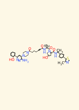 Cc1ncsc1-c1ccc([C@@H](C)NC(=O)[C@H]2C[C@H](O)CN2C(=O)[C@H](NC(=O)C#CCCCC(=O)N2CCN(c3cc(-c4ccccc4O)nnc3N)CC2)C(C)(C)C)cc1